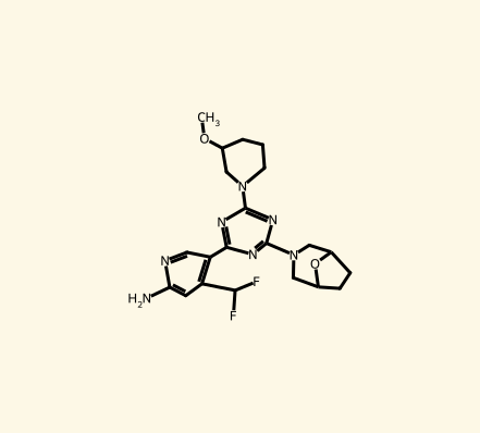 COC1CCCN(c2nc(-c3cnc(N)cc3C(F)F)nc(N3CC4CCC(C3)O4)n2)C1